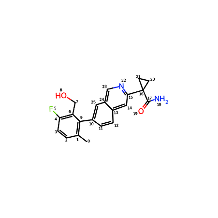 Cc1ccc(F)c(CO)c1-c1ccc2cc(C3(C(N)=O)CC3)ncc2c1